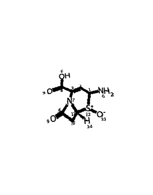 NC1C=C(C(=O)O)N2C(=O)C[C@H]2[S+]1[O-]